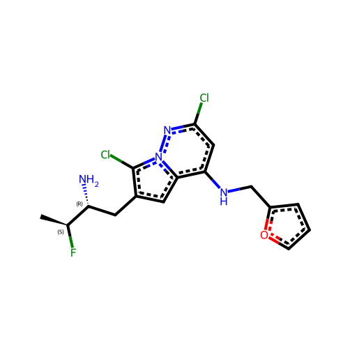 C[C@H](F)[C@H](N)Cc1cc2c(NCc3ccco3)cc(Cl)nn2c1Cl